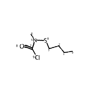 CCCCSN(C)C(=O)Cl